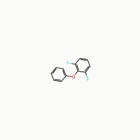 Fc1cccc(F)c1Oc1cc[c]cc1